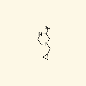 [2H]C1CN(CC2CC2)CCN1